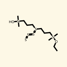 CCO[Si](C)(C)CCCS(CCC[Si](C)(C)O)=S=S=S